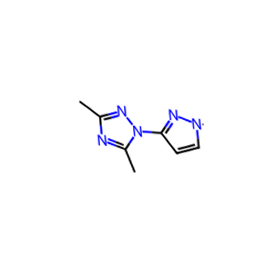 Cc1nc(C)n(C2=N[N]C=C2)n1